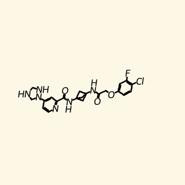 O=C(COc1ccc(Cl)c(F)c1)NC12CC(NC(=O)c3cc(N4CNCN4)ccn3)(C1)C2